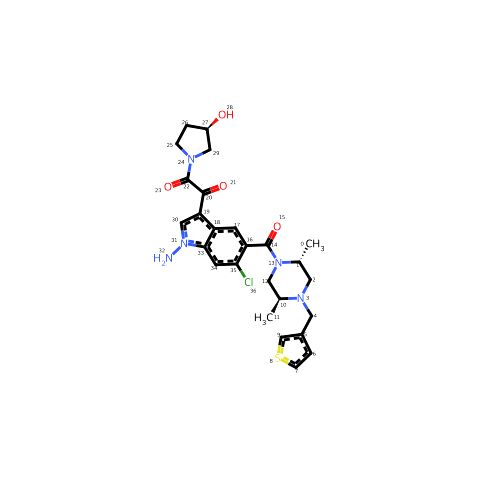 C[C@@H]1CN(Cc2ccsc2)[C@@H](C)CN1C(=O)c1cc2c(C(=O)C(=O)N3CC[C@@H](O)C3)cn(N)c2cc1Cl